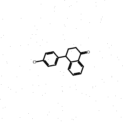 O=C1CCC(c2ccc(Cl)cc2)c2ccccc21